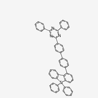 c1ccc(-c2nc(-c3ccccc3)nc(-c3ccc(-c4ccc(-c5cccc6c5-c5ccccc5[Si]6(c5ccccc5)c5ccccc5)cc4)cc3)n2)cc1